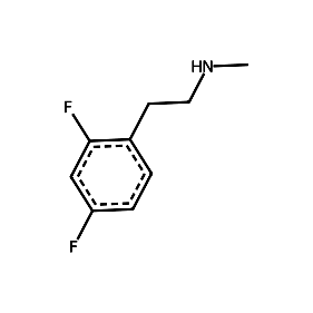 CNCCc1ccc(F)cc1F